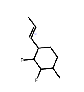 C/C=C/C1CCC(C)C(F)C1F